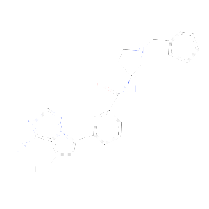 Nc1ncnn2c(-c3cccc(C(=O)N[C@H]4CCN(Cc5ccccc5)C4)c3)cc(C(F)(F)F)c12